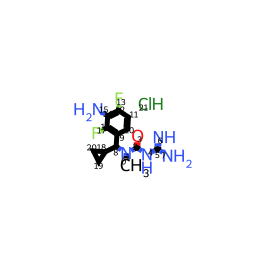 CN(C(=O)NC(=N)N)C(c1ccc(F)c(N)c1F)C1CC1.Cl